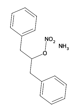 N.O=[N+]([O-])OC(Cc1ccccc1)Cc1ccccc1